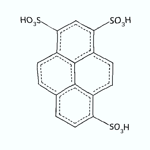 O=S(=O)(O)c1ccc2ccc3c(S(=O)(=O)O)cc(S(=O)(=O)O)c4ccc1c2c34